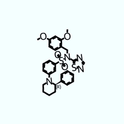 COc1ccc(CN(c2ncns2)S(=O)(=O)c2cccc(N3CCCC[C@@H]3c3ccccc3)c2)c(OC)c1